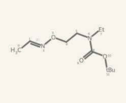 C/C=N/OCCN(CC)C(=O)OC(C)(C)C